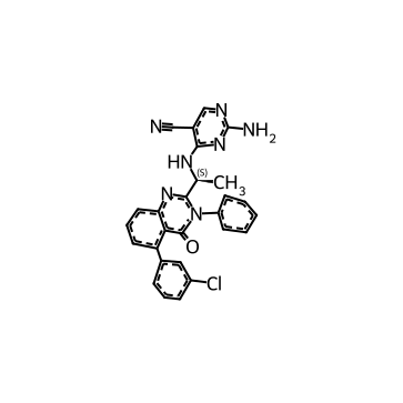 C[C@H](Nc1nc(N)ncc1C#N)c1nc2cccc(-c3cccc(Cl)c3)c2c(=O)n1-c1ccccc1